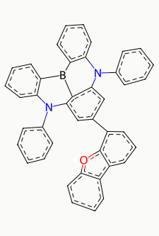 c1ccc(N2c3ccccc3B3c4ccccc4N(c4ccccc4)c4cc(-c5cccc6c5oc5ccccc56)cc2c43)cc1